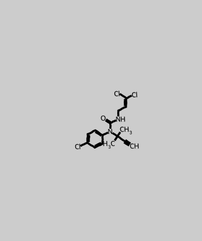 C#CC(C)(C)N(C(=O)NCC=C(Cl)Cl)c1ccc(Cl)cc1